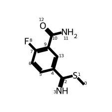 CSC(=N)c1ccc(F)c(C(N)=O)c1